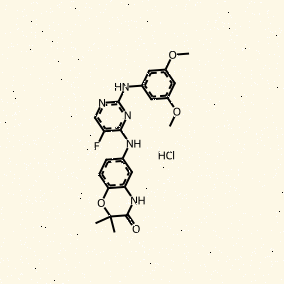 COc1cc(Nc2ncc(F)c(Nc3ccc4c(c3)NC(=O)C(C)(C)O4)n2)cc(OC)c1.Cl